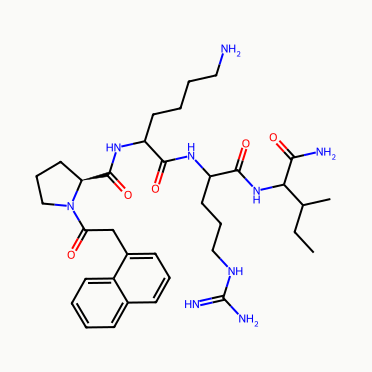 CCC(C)C(NC(=O)C(CCCNC(=N)N)NC(=O)C(CCCCN)NC(=O)[C@@H]1CCCN1C(=O)Cc1cccc2ccccc12)C(N)=O